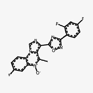 Cc1c2c(-c3nc(-c4ccc(F)cc4F)no3)ncn2c2ccc(F)cc2[n+]1[O-]